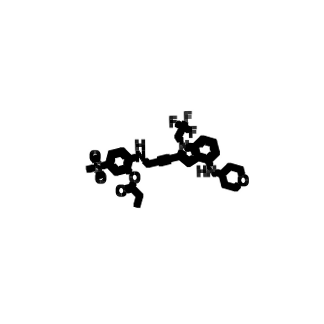 CCC(=O)Oc1cc(S(C)(=O)=O)ccc1NCC#Cc1cc2c(NC3CCOCC3)cccc2n1CC(F)(F)F